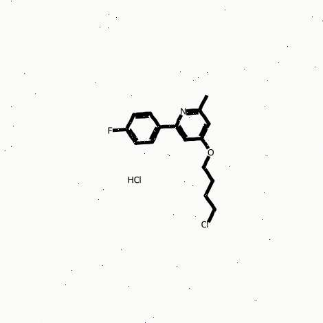 Cc1cc(OCCCCCl)cc(-c2ccc(F)cc2)n1.Cl